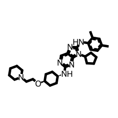 Cc1ccc(Nc2nc3cnc(N[C@H]4CC[C@H](OCCN5CCCCC5)CC4)nc3n2C2CCCC2)c(C)c1